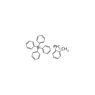 Cc1ccccc1[PH3+].c1ccc([B-](c2ccccc2)(c2ccccc2)c2ccccc2)cc1